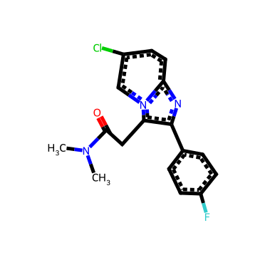 CN(C)C(=O)Cc1c(-c2ccc(F)cc2)nc2ccc(Cl)cn12